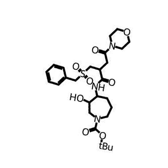 CC(C)(C)OC(=O)N1CCCC(NC(=O)C(CC(=O)N2CCOCC2)CS(=O)(=O)Cc2ccccc2)C(O)C1